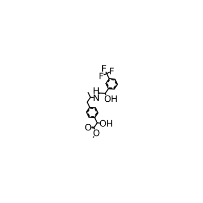 COC(=O)C(O)c1ccc(CC(C)NCC(O)c2cccc(C(F)(F)F)c2)cc1